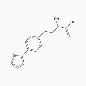 O=C(O)C(O)CCc1ccc(-c2cccs2)cc1